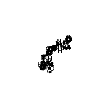 COC(=O)N[C@H](C(=O)N1[C@H](c2ncc(-c3ccc4c(c3)OCc3cc(-c5cnc([C@@H]6C[C@@]7(CCCOC7)CN6C(=O)[C@@H](C)C(C)C)[nH]5)ccc3-4)[nH]2)C[C@@H]2CCCC[C@@H]21)C(C)C